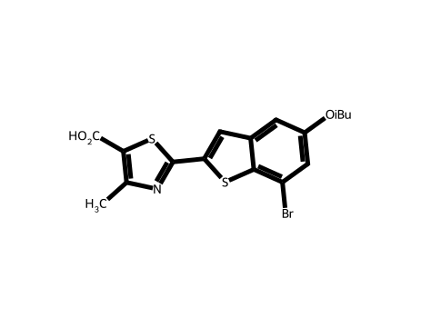 Cc1nc(-c2cc3cc(OCC(C)C)cc(Br)c3s2)sc1C(=O)O